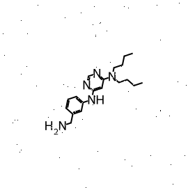 CCCCN(CCCC)c1cc(Nc2cccc(CN)c2)ncn1